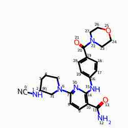 N#CN[C@@H]1CCCN(c2ccc(C(N)=O)c(Nc3ccc(C(=O)N4CCOCC4)cc3)n2)C1